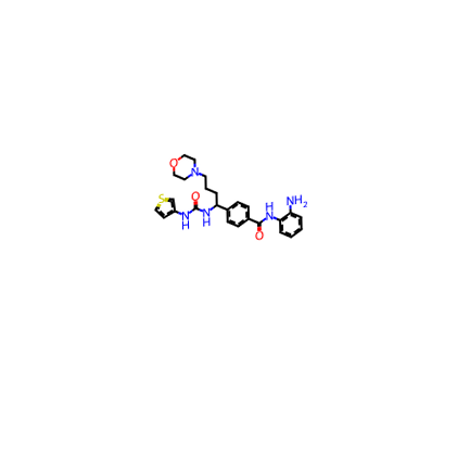 Nc1ccccc1NC(=O)c1ccc(C(CCCN2CCOCC2)NC(=O)Nc2ccsc2)cc1